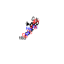 Cc1cc(S(=O)(=O)N2CCN(C(=O)OC(C)(C)C)CC2)[nH]c1C(=O)NC12C(=O)c3cccc([N+](=O)[O-])c3C1(O)Oc1cc([C@@H]3C[C@H]3C)ccc12